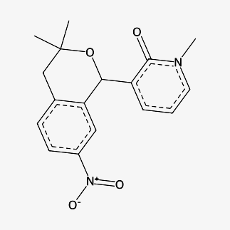 Cn1cccc(C2OC(C)(C)Cc3ccc([N+](=O)[O-])cc32)c1=O